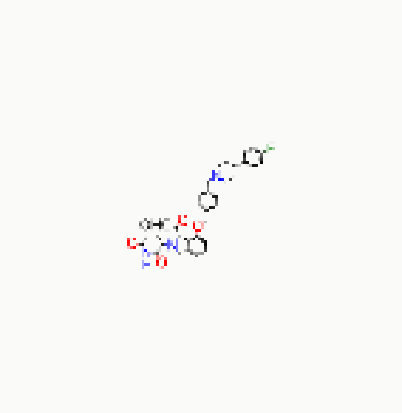 O=CC(=O)C1c2c(cccc2OCc2ccc(CN3CCC(c4ccc(F)cc4)CC3)cc2)CN1C1CCC(=O)NC1=O